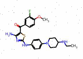 CCNC1CCN(c2ccc(Nc3nc(N)c(C(=O)c4ccc(OC)c(F)c4)s3)cc2)CC1